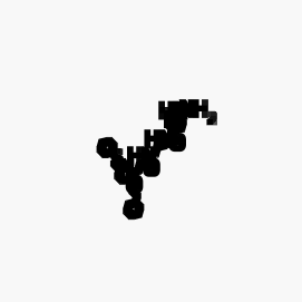 NNc1ccc(C(=O)NCCCNC(=O)C=Cc2nc(CSc3ccccc3)ccc2OCCc2ccccc2)cn1